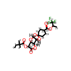 CCC(C)(C)C(=O)O[C@@H]1C(=O)O[C@H]2C1O[C@@H]1OC3(CCC(C(=O)OC(C)C(F)(F)F)CC3)O[C@@H]12